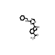 NC(=O)c1cccc2c(-c3ncnc(NCc4ccccc4)n3)[nH]cc12